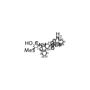 CSCC[C@H](NC(=O)c1ccc(S(=O)(=O)NC(=O)c2ncccc2N)cc1-c1ccccc1)C(=O)O